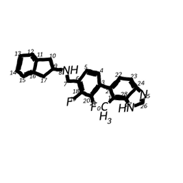 Cc1c(-c2ccc(CNC3Cc4ccccc4C3)c(F)c2F)ccc2nc[nH]c12